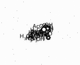 COC(=O)O[C@@]12CO[C@@H]1CC(O)[C@@]1(C)C(=O)[C@H](OC(C)=O)C3=C(C)[C@](C)(OC(=O)[C@H](O)[C@@H](N4C(=O)OC(C)(C)C4=O)C(C)(C)CO)C[C@@](O)([C@@H](OC(=O)c4ccccc4)C12)C3(C)C